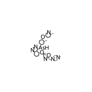 Cc1ccc(Oc2ccc([AsH]c3ncnc4cccc(O[C@H](C)CN(C)C(=O)CN5CCN(C)CC5)c34)cc2C)cn1